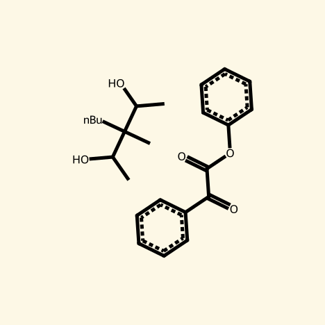 CCCCC(C)(C(C)O)C(C)O.O=C(Oc1ccccc1)C(=O)c1ccccc1